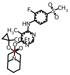 CCOC(=O)C1(OC(=O)N2C3CCCC2CC(Oc2ncnc(Nc4ccc(S(C)(=O)=O)cc4F)c2C)C3)CC1